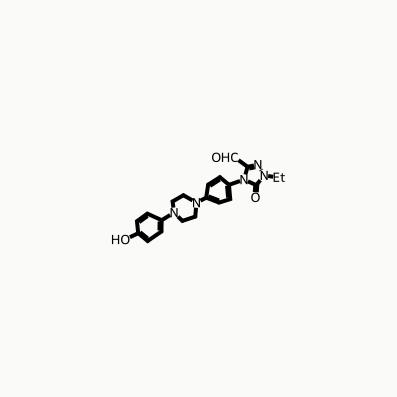 CCn1nc(C=O)n(-c2ccc(N3CCN(c4ccc(O)cc4)CC3)cc2)c1=O